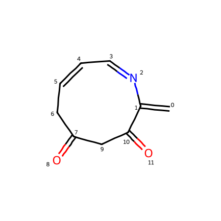 C=C1/N=C\C=C/CC(=O)CC1=O